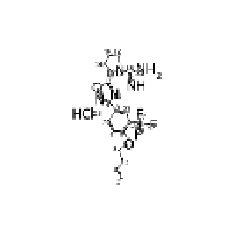 C=CCCOc1ccc(-c2noc([C@@H]3CCCN3C(=N)N)n2)cc1C(F)(F)F.Cl